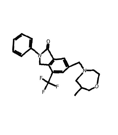 CC1COCCN(Cc2cc3c(c(C(F)(F)F)c2)CN(c2ccccc2)C3=O)C1